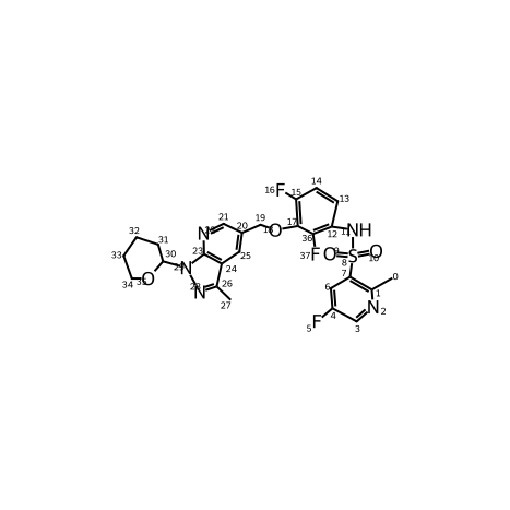 Cc1ncc(F)cc1S(=O)(=O)Nc1ccc(F)c(OCc2cnc3c(c2)c(C)nn3C2CCCCO2)c1F